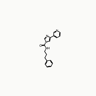 O=C(NCCCc1ccccc1)n1cnc(-c2cccnc2)c1